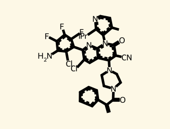 C=C(C(=O)N1CCN(c2c(C#N)c(=O)n(-c3c(C)ccnc3C(C)C)c3nc(-c4c(F)c(F)c(F)c(N)c4Cl)c(Cl)cc23)CC1)c1ccccc1